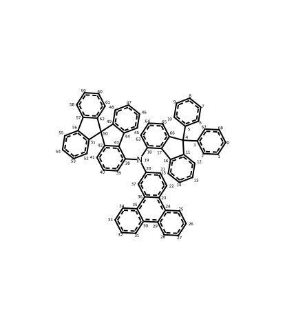 c1ccc(C2(c3ccccc3)c3ccccc3-c3c(N(c4ccc5c6ccccc6c6ccccc6c5c4)c4cccc5c4-c4ccccc4C54c5ccccc5-c5ccccc54)cccc32)cc1